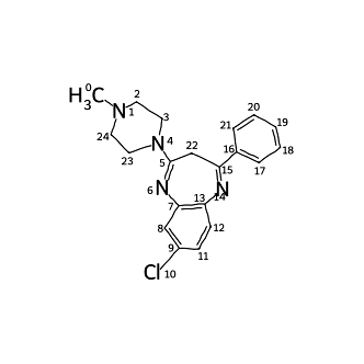 CN1CCN(C2=Nc3cc(Cl)ccc3N=C(c3ccccc3)C2)CC1